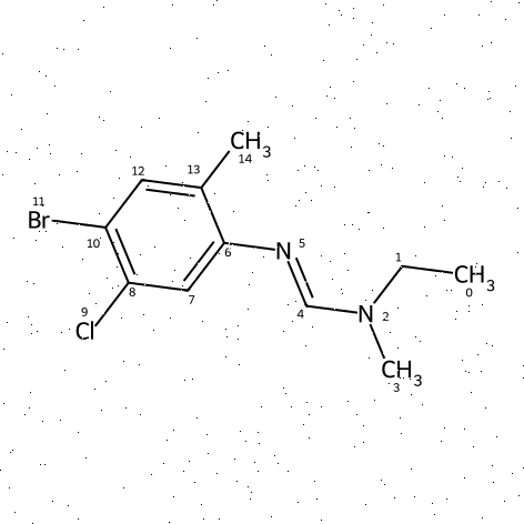 CCN(C)C=Nc1cc(Cl)c(Br)cc1C